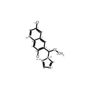 COC(c1cc2cc(Cl)cnc2cc1Cl)n1cncn1